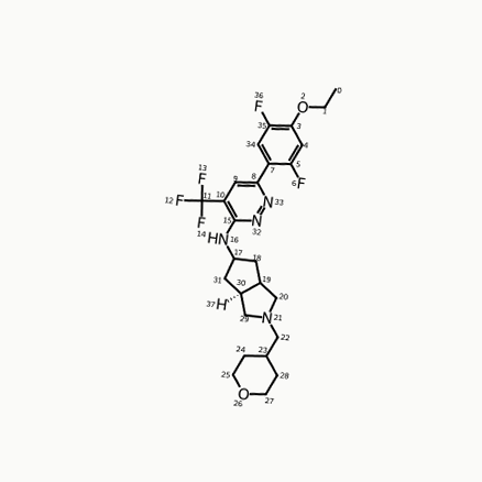 CCOc1cc(F)c(-c2cc(C(F)(F)F)c(NC3CC4CN(CC5CCOCC5)C[C@H]4C3)nn2)cc1F